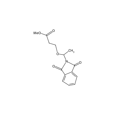 COC(=O)CCOC(C)N1C(=O)c2ccccc2C1=O